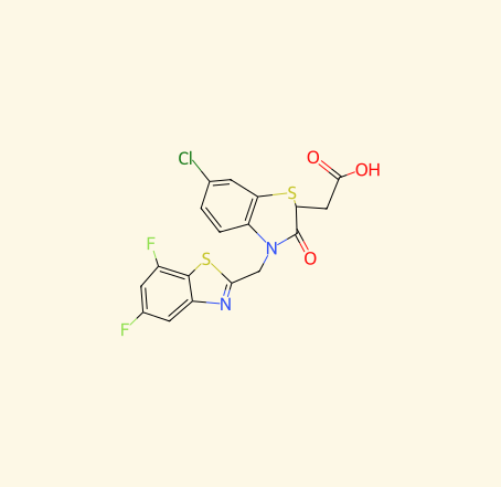 O=C(O)CC1Sc2cc(Cl)ccc2N(Cc2nc3cc(F)cc(F)c3s2)C1=O